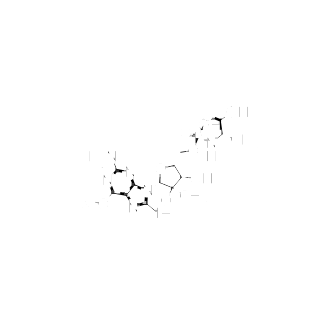 COc1nc(N)nc2c1nc(I)n2[C@@H]1O[C@H](COP(=O)(O)N[C@@H](C)C(=O)O)[C@@H](O)[C@@]1(C)O